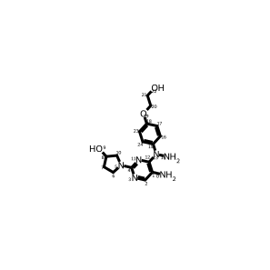 Nc1cnc(N2CCC(O)C2)nc1N(N)c1ccc(OCCO)cc1